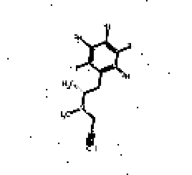 [2H]c1c([2H])c([2H])c(C[C@@H](C)N(C)CC#C)c([2H])c1[2H]